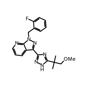 COCC(C)(C)c1nc(-c2nn(Cc3ccccc3F)c3ncccc23)n[nH]1